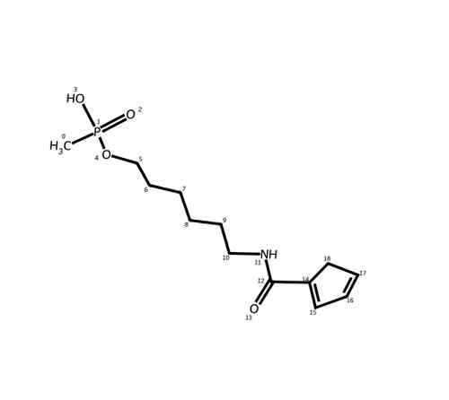 CP(=O)(O)OCCCCCCNC(=O)C1=CC=CC1